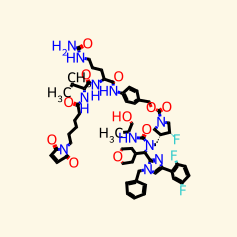 CC(CO)NC(=O)N(C[C@@H]1CN(C(=O)OCc2ccc(NC(=O)C(CCCNC(N)=O)NC(=O)C(NC(=O)CCCCCN3C(=O)C=CC3=O)C(C)C)cc2)C[C@@H]1F)C(c1nc(-c2cc(F)ccc2F)cn1Cc1ccccc1)C1CCOCC1